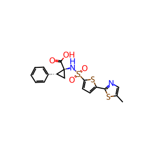 Cc1cnc(-c2ccc(S(=O)(=O)N[C@@]3(C(=O)O)C[C@@H]3c3ccccc3)s2)s1